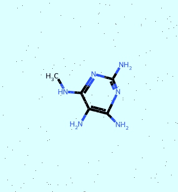 CNc1nc(N)nc(N)c1N